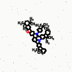 CC(C)(C)c1ccc(N2B3c4cc5c(cc4-n4c6cc7c(cc6c6ccc(c3c64)-c3cc4oc6cc8c(cc6c4cc32)C(C)(C)CCC8(C)C)C(C)(C)c2ccccc2-7)C(C)(C)c2ccccc2-5)cc1